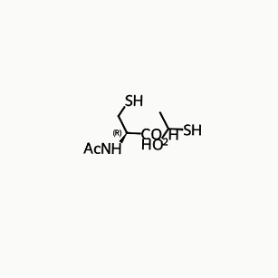 CC(=O)N[C@@H](CS)C(=O)O.CC(O)S